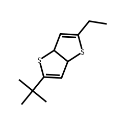 CCC1=CC2SC(C(C)(C)C)=CC2S1